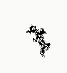 C=Cc1ccnc(Nc2cc(C#N)c(N3CCN(C(=O)CCOC)[C@H](C4CC4)C3)nc2C2CC2)c1